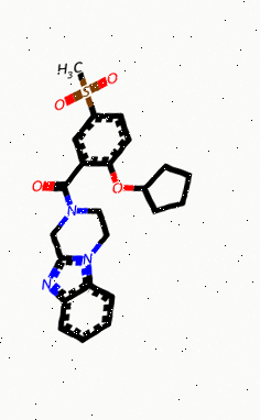 CS(=O)(=O)c1ccc(OC2CCCC2)c(C(=O)N2CCn3c(nc4ccccc43)C2)c1